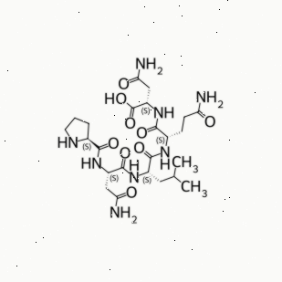 CC(C)C[C@H](NC(=O)[C@H](CC(N)=O)NC(=O)[C@@H]1CCCN1)C(=O)N[C@@H](CCC(N)=O)C(=O)N[C@@H](CC(N)=O)C(=O)O